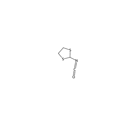 O=C=NC1SCCS1